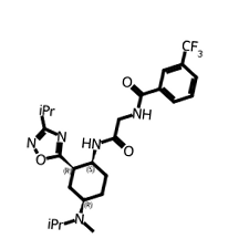 CC(C)c1noc([C@@H]2C[C@H](N(C)C(C)C)CC[C@@H]2NC(=O)CNC(=O)c2cccc(C(F)(F)F)c2)n1